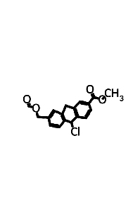 COC(=O)c1ccc2c(c1)Cc1cc(COC=O)ccc1C2Cl